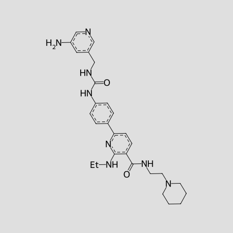 CCNc1nc(-c2ccc(NC(=O)NCc3cncc(N)c3)cc2)ccc1C(=O)NCCN1CCCCC1